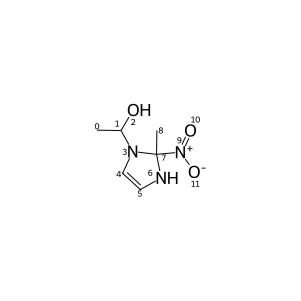 CC(O)N1C=CNC1(C)[N+](=O)[O-]